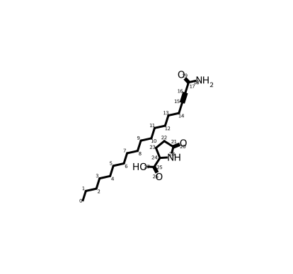 CCCCCCCCCCCCCCCC#CC(N)=O.O=C1CCC(C(=O)O)N1